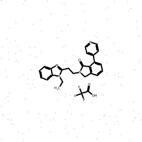 CCn1c(CCN2Cc3cccc(-c4ccncc4)c3C2=O)nc2ccccc21.O=C(O)C(F)(F)F